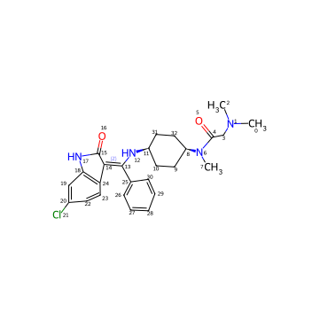 CN(C)CC(=O)N(C)[C@H]1CC[C@@H](N/C(=C2\C(=O)Nc3cc(Cl)ccc32)c2ccccc2)CC1